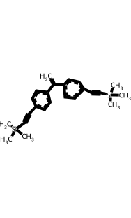 C=C(c1ccc(C#C[Si](C)(C)C)cc1)c1ccc(C#C[Si](C)(C)C)cc1